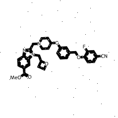 COC(=O)c1ccc2nc(CN3CCC(Oc4cccc(COc5ccc(C#N)cc5F)c4)CC3)n(CC3CCO3)c2c1